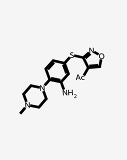 CC(=O)c1conc1Sc1ccc(N2CCN(C)CC2)c(N)c1